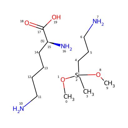 CO[Si](C)(CCCN)OC.NCCCC[C@H](N)C(=O)O